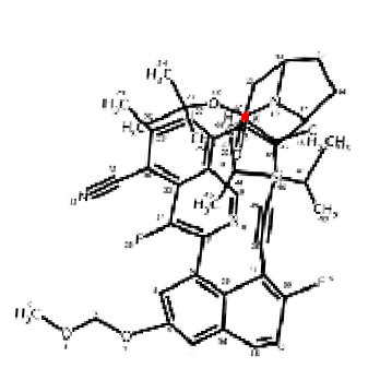 COCOc1cc(-c2ncc3c(N4CC5CCC(C4)N5C(=O)OC(C)(C)C)nc(C)c(C#N)c3c2F)c2c(C#C[Si](C(C)C)(C(C)C)C(C)C)c(F)ccc2c1